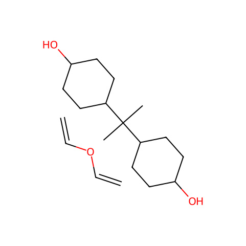 C=COC=C.CC(C)(C1CCC(O)CC1)C1CCC(O)CC1